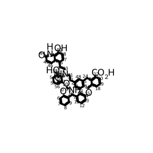 O=C(N[C@@H](c1ccccc1)c1cccc(OCc2cccc(C(=O)O)c2Cc2cccc(CCNCC(O)c3ccc(O)c4[nH]c(=O)ccc34)c2)c1)OC1CN2CCC1CC2